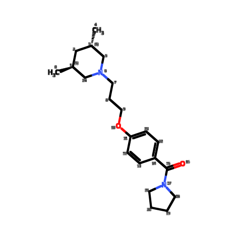 C[C@H]1C[C@H](C)CN(CCCOc2ccc(C(=O)N3CCCC3)cc2)C1